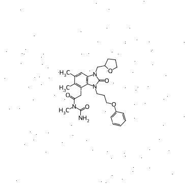 Cc1cc2c(c(CC(=O)N(C)C(N)=O)c1C)n(CCCOc1ccccc1)c(=O)n2CC1CCCO1